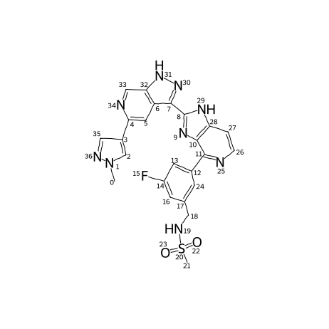 Cn1cc(-c2cc3c(-c4nc5c(-c6cc(F)cc(CNS(C)(=O)=O)c6)nccc5[nH]4)n[nH]c3cn2)cn1